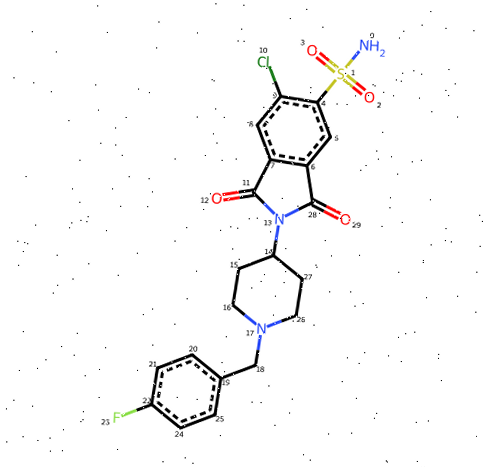 NS(=O)(=O)c1cc2c(cc1Cl)C(=O)N(C1CCN(Cc3ccc(F)cc3)CC1)C2=O